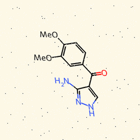 COc1ccc(C(=O)c2c[nH]nc2N)cc1OC